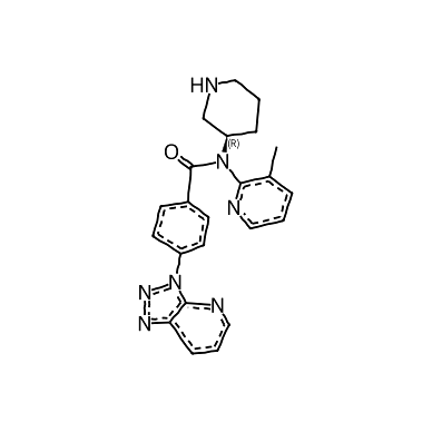 Cc1cccnc1N(C(=O)c1ccc(-n2nnc3cccnc32)cc1)[C@@H]1CCCNC1